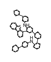 c1ccc(-c2ccc(Nc3ccccc3-c3cccc(-c4ccc(Nc5cccc(-c6ccccc6)c5)c(-c5cccc6c5sc5ccccc56)c4)c3)cc2)cc1